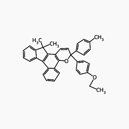 CCOc1ccc(C2(c3ccc(C)cc3)C=Cc3c4c(c5ccccc5c3O2)-c2ccccc2C4(C)C)cc1